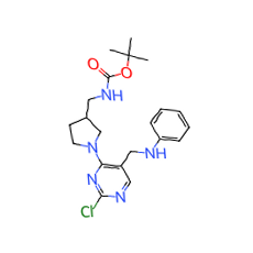 CC(C)(C)OC(=O)NCC1CCN(c2nc(Cl)ncc2CNc2ccccc2)C1